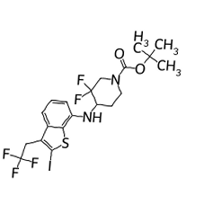 CC(C)(C)OC(=O)N1CCC(Nc2cccc3c(CC(F)(F)F)c(I)sc23)C(F)(F)C1